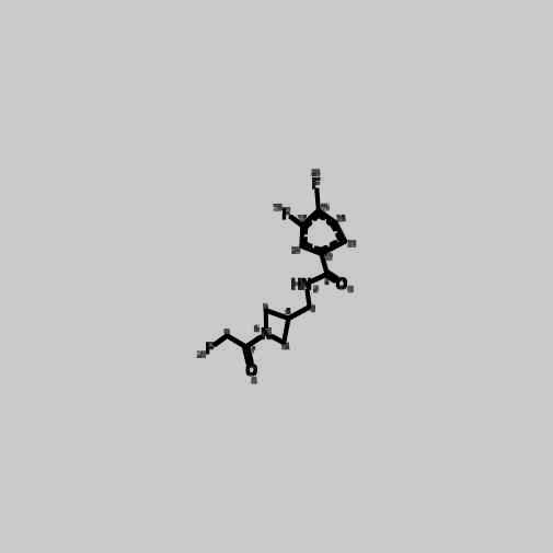 O=C(NCC1CN(C(=O)CF)C1)c1ccc(F)c(F)c1